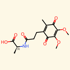 COC1=C(OC)C(=O)C(CCC(=O)N[C@@H](C)C(=O)O)=C(C)C1=O